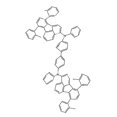 Cc1ccccc1-c1ccc(-c2ccccc2C)c2c1-c1cccc3c(N(c4ccccc4)c4ccc(-c5ccc(N(c6ccccc6)c6ccc7c8c(cccc68)-c6c(-c8ccccc8C)ccc(-c8ccccc8C)c6-7)cc5)cc4)ccc-2c13